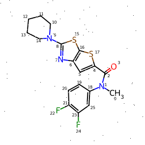 CN(C(=O)c1cc2nc(N3CCCCC3)sc2s1)c1ccc(F)c(F)c1